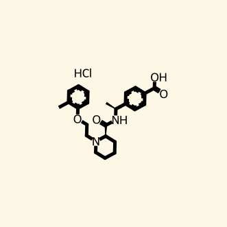 Cc1ccccc1OCCN1CCCC[C@@H]1C(=O)N[C@@H](C)c1ccc(C(=O)O)cc1.Cl